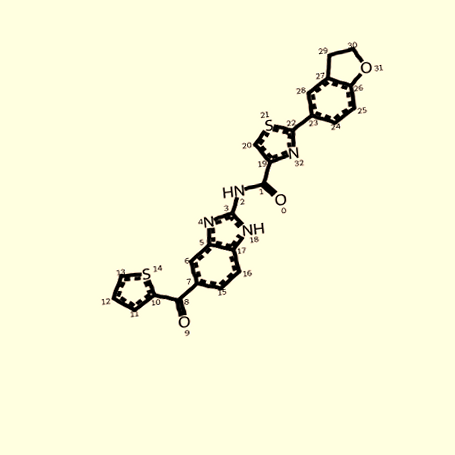 O=C(Nc1nc2cc(C(=O)c3cccs3)ccc2[nH]1)c1csc(-c2ccc3c(c2)CCO3)n1